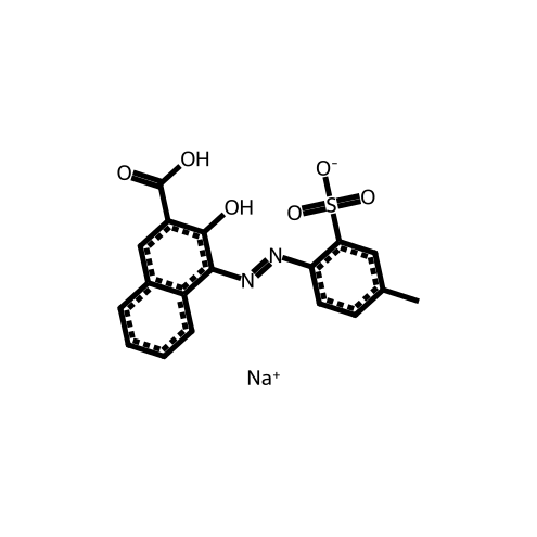 Cc1ccc(/N=N/c2c(O)c(C(=O)O)cc3ccccc23)c(S(=O)(=O)[O-])c1.[Na+]